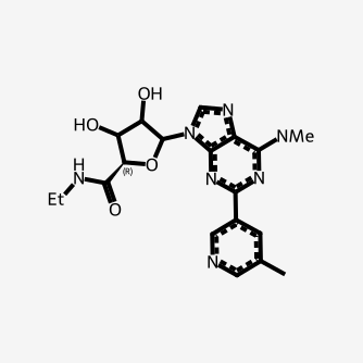 CCNC(=O)[C@@H]1OC(n2cnc3c(NC)nc(-c4cncc(C)c4)nc32)C(O)C1O